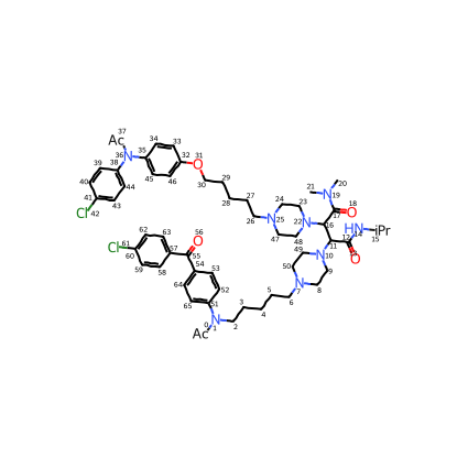 CC(=O)N(CCCCCN1CCN(C(C(=O)NC(C)C)C(C(=O)N(C)C)N2CCN(CCCCCOc3ccc(N(C(C)=O)c4ccc(Cl)cc4)cc3)CC2)CC1)c1ccc(C(=O)c2ccc(Cl)cc2)cc1